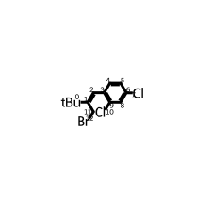 CC(C)(C)/C(=C/c1ccc(Cl)cc1Cl)CBr